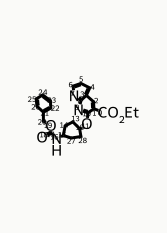 CCOC(=O)c1cc2cccnc2nc1OC1CCC(NC(=O)OCc2ccccc2)CC1